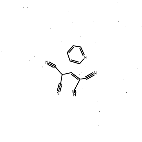 N#CC(C#N)=CC(C#N)C#N.c1ccncc1